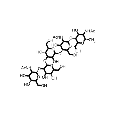 CC(=O)NC1C(O)[C@H](O)C(CO)O[C@H]1OC1C(O)[C@H](O)C(CO)O[C@@H]1OC1C(O)[C@H](O[C@@H]2C(CO)O[C@@H](O[C@@H]3C(CO)O[C@@H](C)C(NC(C)=O)C3O)C(NC(C)=O)C2O)OC(CO)[C@H]1O